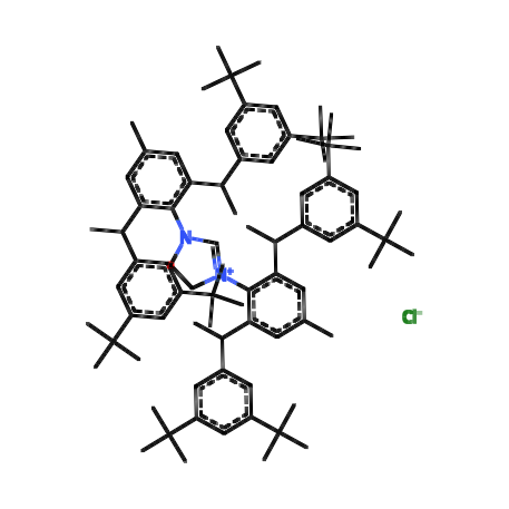 Cc1cc(C(C)c2cc(C(C)(C)C)cc(C(C)(C)C)c2)c(N2C=[N+](c3c(C(C)c4cc(C(C)(C)C)cc(C(C)(C)C)c4)cc(C)cc3C(C)c3cc(C(C)(C)C)cc(C(C)(C)C)c3)CC2)c(C(C)c2cc(C(C)(C)C)cc(C(C)(C)C)c2)c1.[Cl-]